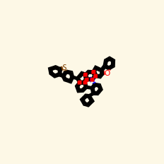 c1ccc(-c2ccccc2-c2c(-c3ccccc3)cccc2N(c2ccc(-c3ccc4c(c3)sc3ccccc34)cc2)c2ccc3c(c2)oc2ccccc23)cc1